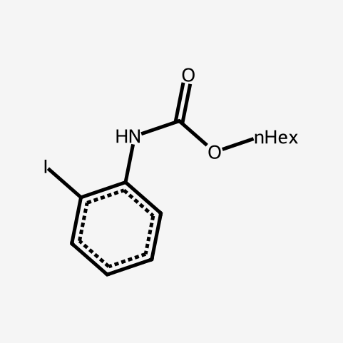 CCCCCCOC(=O)Nc1ccccc1I